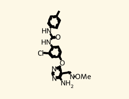 CON=Cc1c(N)ncnc1Oc1ccc(NC(=O)Nc2ccc(C)cc2)c(Cl)c1